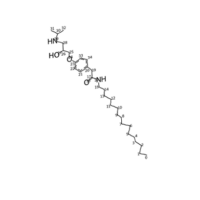 CCCCCCCCCCCCCCCCNC(=O)Cc1ccc(OCC(O)CNC(C)C)cc1